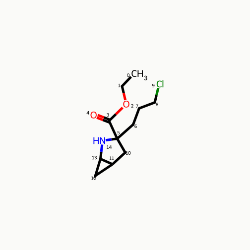 CCOC(=O)C1(CCCCl)CC2CC2N1